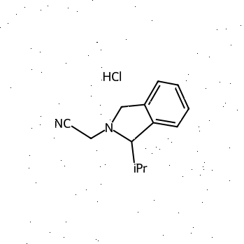 CC(C)C1c2ccccc2CN1CC#N.Cl